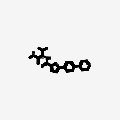 CNC(=O)[C@@H](NC(=O)c1ccc(-c2ccc(-c3ccncc3)cn2)o1)C(C)C